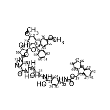 COc1ccc(C(OCC2O[C@@H](n3cnc4c(=O)[nH]c(NC(O)CCNC(O)c5ccc(CNC(=O)OCC6c7ccccc7-c7ccccc76)cc5)nc43)CC2O)(c2ccccc2)c2ccc(OC)cc2)cc1